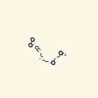 CN(CCCC(=O)Nc1cccc(CNC[C@H](O)c2ccc(O)c3[nH]c(=O)sc23)c1)C(=O)CCN1C[C@H]2CC(N(C(=O)O)c3ccccc3-c3ccccc3)C[C@H]2C1